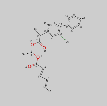 CC=CC=CC(=O)OC(C)OC(=O)C(C)c1ccc(-c2ccccc2)c(F)c1